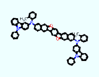 Cc1ccccc1N(c1ccc2cc3c(cc2c1)oc1cc2c(cc13)oc1cc3cc(N(c4ccc5c(c4)c4ccccc4n5-c4ccccc4)c4ccccc4C)ccc3cc12)c1ccc2c(c1)c1ccccc1n2-c1ccccc1